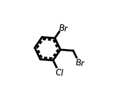 Clc1cccc(Br)c1CBr